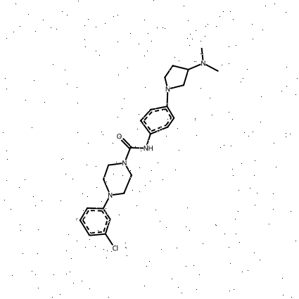 CN(C)C1CCN(c2ccc(NC(=O)N3CCN(c4cccc(Cl)c4)CC3)cc2)C1